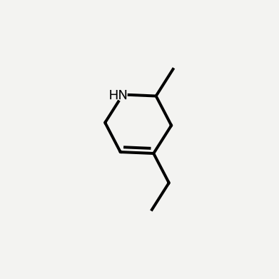 CCC1=CCNC(C)C1